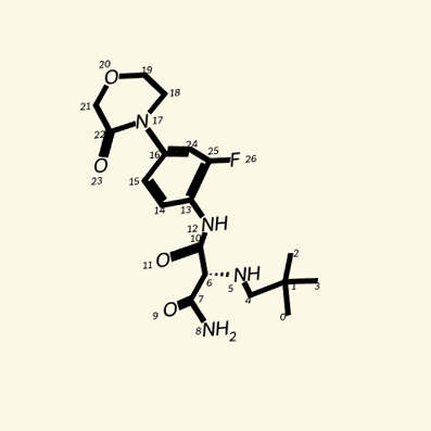 CC(C)(C)CN[C@H](C(N)=O)C(=O)Nc1ccc(N2CCOCC2=O)cc1F